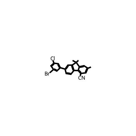 Cc1cc(C#N)c2c(c1)C(C)(C)c1cc(-c3cc(Cl)cc(Br)c3)ccc1-2